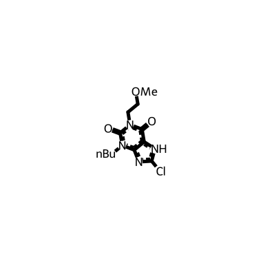 CCCCn1c(=O)n(CCOC)c(=O)c2[nH]c(Cl)nc21